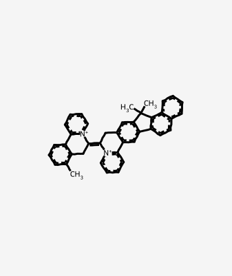 Cc1cccc2c1C/C(=C1/Cc3cc4c(cc3-c3cccc[n+]31)-c1ccc3ccccc3c1C4(C)C)[n+]1ccccc1-2